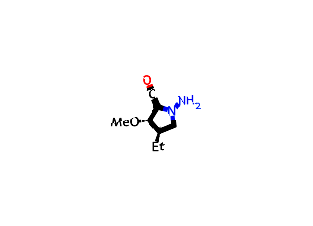 CC[C@@H]1CN(N)C(=C=O)[C@H]1OC